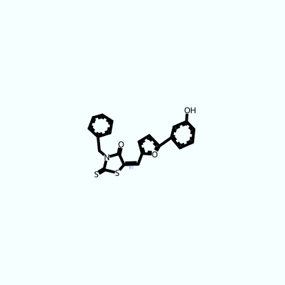 O=C1/C(=C\c2ccc(-c3cccc(O)c3)o2)SC(=S)N1Cc1ccccc1